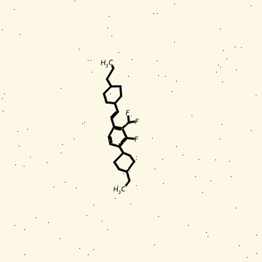 CCCC1CCC(/C=C/c2ccc(C3CCC(CC)CC3)c(F)c2C(F)F)CC1